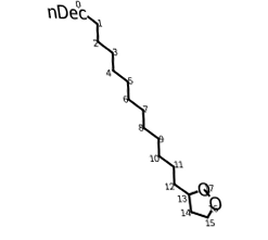 CCCCCCCCCCCCCCCCCCCCCCC1CCOO1